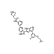 CN(C)CCOc1cc(F)cc(-c2cncc3[nH]c(-c4n[nH]c5ccc(-c6cncc(NC(=O)CC7CCNCC7)c6)nc45)cc23)c1